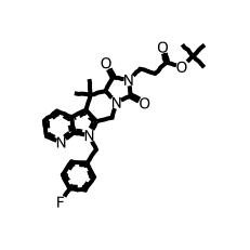 CC(C)(C)OC(=O)CCN1C(=O)C2N(Cc3c(c4cccnc4n3Cc3ccc(F)cc3)C2(C)C)C1=O